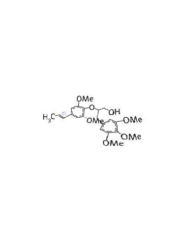 C/C=C/c1cc(OC)c(OC(CO)Cc2cc(OC)c(OC)c(OC)c2)c(OC)c1